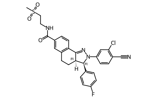 CS(=O)(=O)CCNC(=O)c1ccc2c(c1)CC[C@H]1C2=NN(c2ccc(C#N)c(Cl)c2)[C@H]1c1ccc(F)cc1